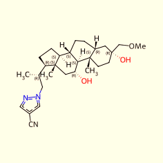 COC[C@@]1(O)CC[C@@]2(C)[C@H](CC[C@@H]3[C@@H]2[C@H](O)C[C@]2(C)[C@@H]([C@@H](C)Cn4cc(C#N)cn4)CC[C@@H]32)C1